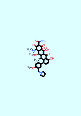 COc1ccc(-c2ccc(O)c3c2C(C)C2C(=C(O)C4(O)C(=O)C(C(N)=O)=C(O)C(N(C)C)C4C2O)C3=O)cc1CN1CCCC1